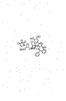 COC1C(OC)[C@H](n2ccc(=O)[nH]c2=O)O[C@@H]1C(O[C@H]1OC(C(=O)NC2N=C(c3ccccc3)c3ccccc3NC2=O)=CC(O)C1O)C(N)=O